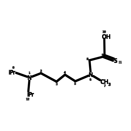 CC(C)N(CCCCN(C)CC(O)=S)C(C)C